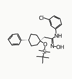 CC(C)(C)[Si](C)(C)O[C@]1(C/C(=N/O)Nc2cccc(Cl)c2)CC[C@@H](c2ccccc2)CC1